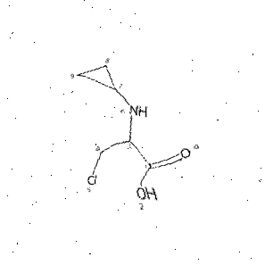 O=C(O)C(CCl)NC1CC1